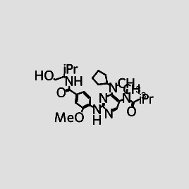 COc1cc(C(=O)N[C@H](CO)C(C)C)ccc1Nc1ncc(N(C)C(=O)C(C)C)c(N(C)C2CCCC2)n1